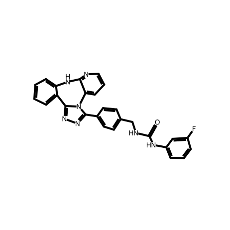 O=C(NCc1ccc(-c2nnc3n2-c2cccnc2Nc2ccccc2-3)cc1)Nc1cccc(F)c1